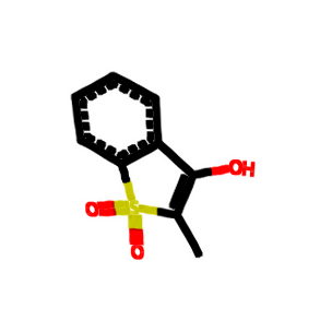 CC1=C(O)c2ccccc2S1(=O)=O